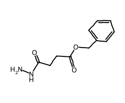 NNC(=O)CCC(=O)OCc1ccccc1